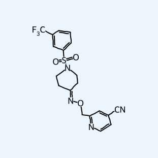 N#Cc1ccnc(CON=C2CCN(S(=O)(=O)c3cccc(C(F)(F)F)c3)CC2)c1